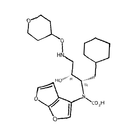 O=C(O)N(c1coc2occc12)[C@@H](CC1CCCCC1)[C@H](O)CNOC1CCOCC1